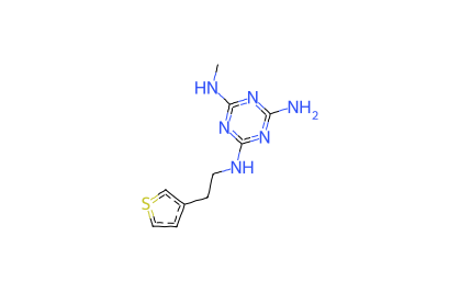 CNc1nc(N)nc(NCCc2ccsc2)n1